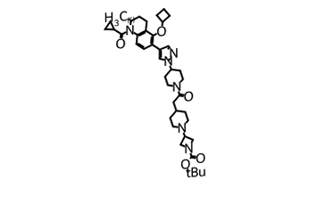 C[C@H]1CCc2c(ccc(-c3cnn(C4CCN(C(=O)CC5CCN(C6CN(C(=O)OC(C)(C)C)C6)CC5)CC4)c3)c2OC2CCC2)N1C(=O)C1CC1